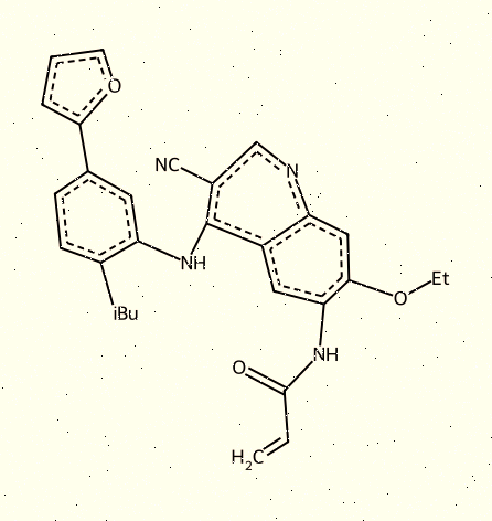 C=CC(=O)Nc1cc2c(Nc3cc(-c4ccco4)ccc3C(C)CC)c(C#N)cnc2cc1OCC